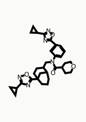 O=C(C1CCOCC1)N(CC1CCC2(c3nc(C4CC4)no3)CCCC1C2)c1cccc(-c2nc(C3CC3)no2)c1